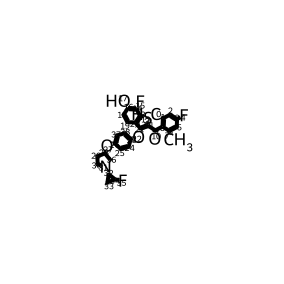 Cc1cc(F)cc(C)c1C(=O)c1sc2c(F)c(O)ccc2c1Oc1ccc(O[C@H]2CCN(C3CC3F)C2)cc1